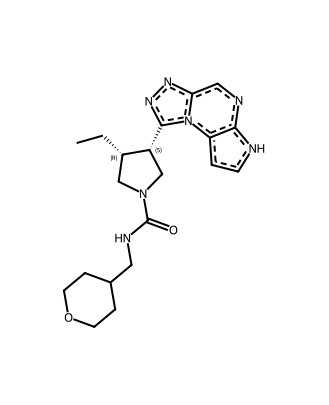 CC[C@H]1CN(C(=O)NCC2CCOCC2)C[C@H]1c1nnc2cnc3[nH]ccc3n12